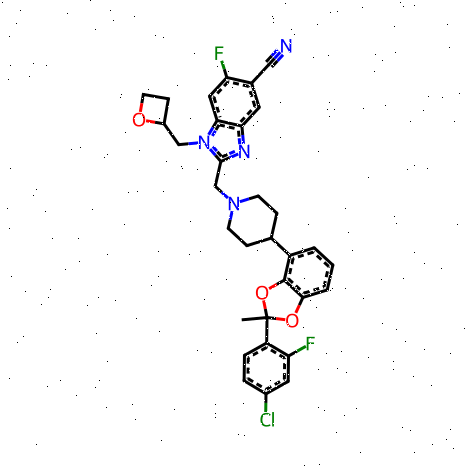 CC1(c2ccc(Cl)cc2F)Oc2cccc(C3CCN(Cc4nc5cc(C#N)c(F)cc5n4CC4CCO4)CC3)c2O1